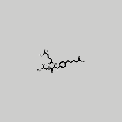 CC(C)CNC(=O)C(NC(=O)CCCN(C)C)Nc1ccc(OCCCC(=O)O)cc1